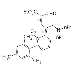 CCCN(CCC)CC(/C=C(\C=O)C(=O)OCC)=C1\C=CC=C(c2c(C)cc(C)cc2C)N1C